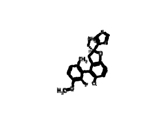 COc1ccc(C)c(-c2c(Cl)ccc3c2C[C@@](CN)(c2cscn2)O3)c1F